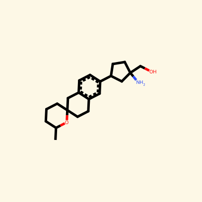 CC1CCCC2(CCc3cc(C4CCC(N)(CO)C4)ccc3C2)O1